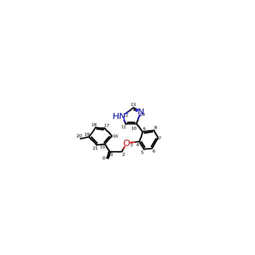 C=C(COc1ccccc1-c1c[nH]cn1)c1cccc(C)c1